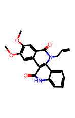 C=CCn1c(=O)c2cc(OC)c(OC)cc2c2c(=O)[nH]c3ccccc3c21